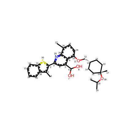 Cc1c(-c2cc(C(O)O)c3c(OC[C@H]4CC[C@@](C)(OC(C)C)CC4)ccc(C)c3n2)sc2ccccc12